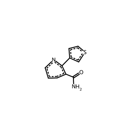 NC(=O)c1cccnc1-c1ccsc1